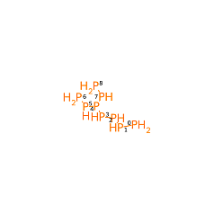 PPPPP(PP)PP